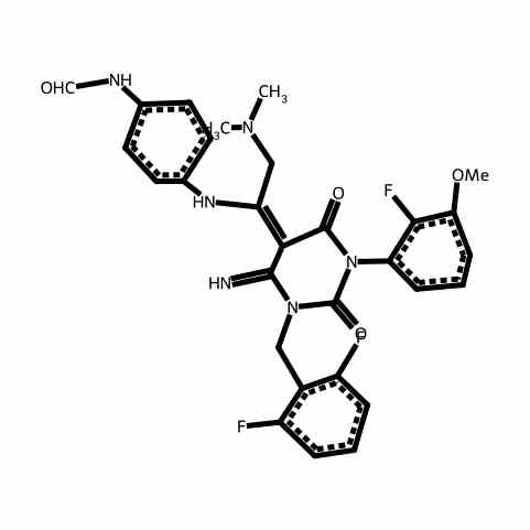 COc1cccc(N2C(=O)/C(=C(\CN(C)C)Nc3ccc(NC=O)cc3)C(=N)N(Cc3c(F)cccc3F)C2=O)c1F